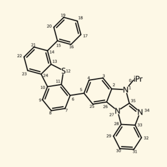 CC(C)n1c2ccc(-c3cccc4c3sc3c(-c5ccccc5)cccc34)cc2n2c3ccccc3nc12